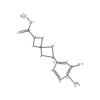 COC(=O)C1CC2(C1)CC(c1ccc(C)c(F)c1)C2